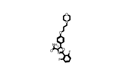 NC(=O)C1N=C(c2c(F)cccc2F)OC1c1ccc(OCCCN2CCOCC2)cc1